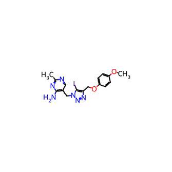 COc1ccc(OCc2nnn(Cc3cnc(C)nc3N)c2I)cc1